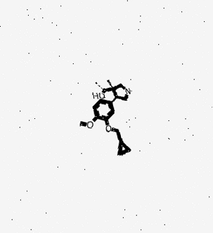 COc1ccc([C@@H]2C[N]C[C@@]2(C)[C@@H](C)O)cc1OCC1CC1